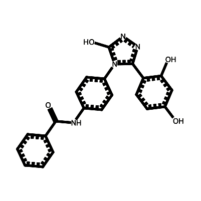 O=C(Nc1ccc(-n2c(O)nnc2-c2ccc(O)cc2O)cc1)c1ccccc1